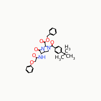 CC(C)(C)c1ccc(C(=O)N2CC3[C@H](NC(=O)COc4ccccc4)C(=O)N3C2C(=O)OCc2ccccc2)cc1